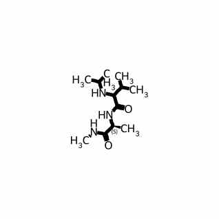 CNC(=O)[C@H](C)NC(=O)C(NC(C)C)C(C)C